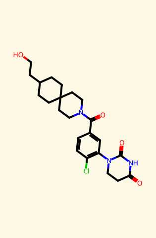 O=C1CCN(c2cc(C(=O)N3CCC4(CCC(CCO)CC4)CC3)ccc2Cl)C(=O)N1